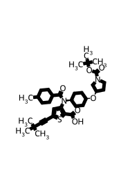 CC1CCC(C(=O)N(c2cc(C#CC(C)(C)C)sc2C(=O)O)[C@H]2CC[C@H](O[C@H]3CCN(C(=O)OC(C)(C)C)C3)CC2)CC1